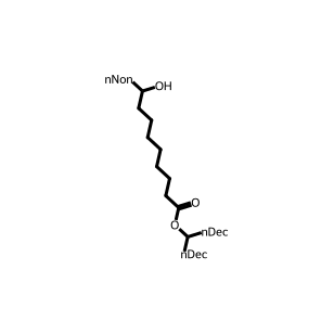 CCCCCCCCCCC(CCCCCCCCCC)OC(=O)CCCCCCCC(O)CCCCCCCCC